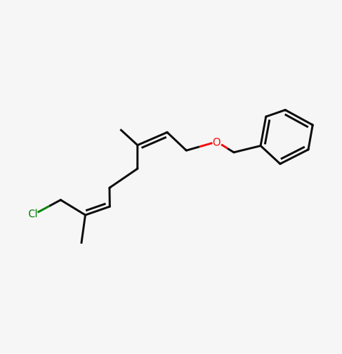 C/C(=C/CC/C(C)=C\COCc1ccccc1)CCl